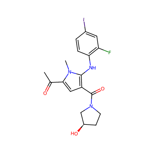 CC(=O)c1cc(C(=O)N2CC[C@@H](O)C2)c(Nc2ccc(I)cc2F)n1C